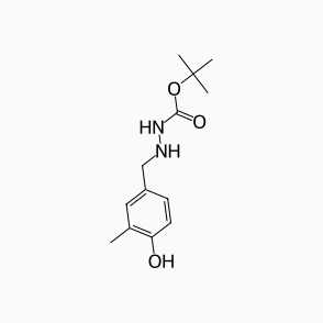 Cc1cc(CNNC(=O)OC(C)(C)C)ccc1O